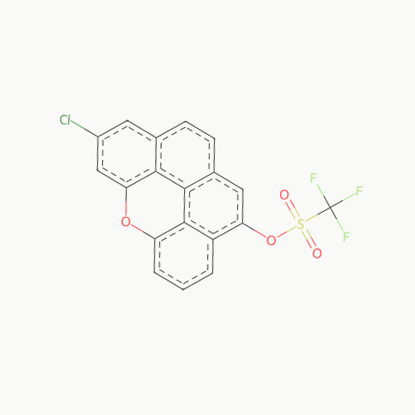 O=S(=O)(Oc1cc2ccc3cc(Cl)cc4c3c2c2c(cccc12)O4)C(F)(F)F